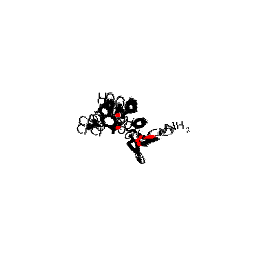 COc1ccc(C2O[C@@H](C(=O)O[C@H]3C[C@@]4(O)[C@@H](OC(=O)c5ccccc5)[C@@H]5[C@]6(OC(C)=O)CO[C@@H]6C[C@H](C)[C@@]5(C)C(=O)[C@H](OC(=O)C(Cl)(Cl)Cl)C(=C3C)C4(C)C)[C@H](c3ccccc3)N2Sc2ccccc2OON)c(OC)c1